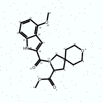 COC(=O)C1CC2(CCOCC2)CN1C(=O)c1cc2c(OC)cccc2[nH]1